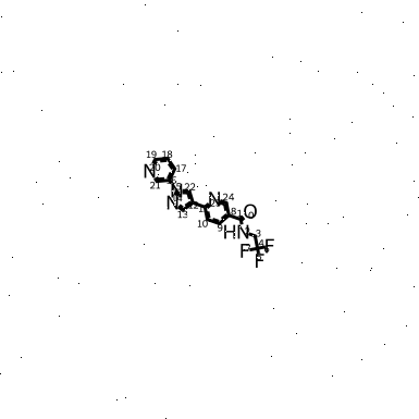 O=C(NCC(F)(F)F)c1ccc(-c2cnn(-c3cccnc3)c2)nc1